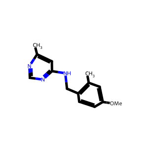 COc1ccc(CNc2cc(C)ncn2)c(C)c1